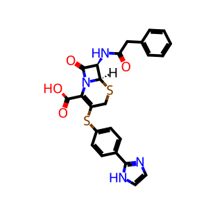 O=C(Cc1ccccc1)N[C@@H]1C(=O)N2C(C(=O)O)=C(Sc3ccc(-c4ncc[nH]4)cc3)CS[C@H]12